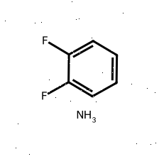 Fc1ccccc1F.N